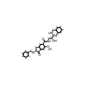 CCOc1cc2c(cc1C(=O)NC[C@@H](O)[C@@H]1Cc3ccccc3CN1)CN(OCc1ccccc1)C2=O